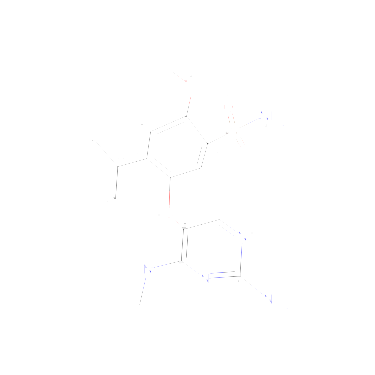 CNc1nc(N)ncc1Oc1cc(S(N)(=O)=O)c(OC)cc1C(C)C